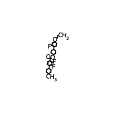 C=CCOc1ccc(C2CCC(OC(=O)c3ccc(C4CCC(C)CC4)c(F)c3F)CC2)c(F)c1